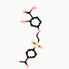 CC(=O)c1ccc(S(=O)(=O)CCOc2ccc(C(=O)O)c(O)c2)cc1